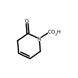 O=C(O)N1CC=CCC1=O